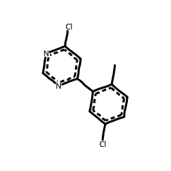 Cc1ccc(Cl)cc1-c1cc(Cl)ncn1